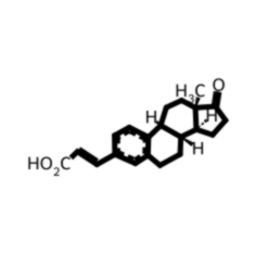 C[C@]12CC[C@@H]3c4ccc(/C=C/C(=O)O)cc4CC[C@H]3[C@@H]1CCC2=O